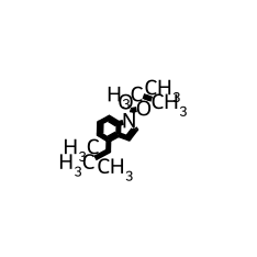 CC(C)(C)Cc1cccc2c1ccn2C(=O)OC(C)(C)C